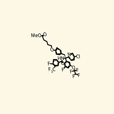 COC(=O)CCCCOc1ccc(C[C@](NC(=O)c2ccc(F)c(C(F)(F)F)c2)(c2cc(F)cc(OC(F)(F)C(F)F)c2)c2ccc(Cl)cn2)cc1